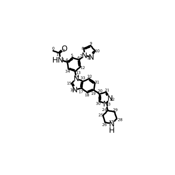 CC(=O)Nc1cc(-n2cccn2)cc(-n2cnc3cc(-c4cnn(C5CCNCC5)c4)ccc32)c1